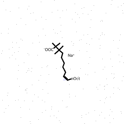 CCCCCCCC/C=C\CCCCCC(C)(C)C(C)(C)C(=O)[O-].[Na+]